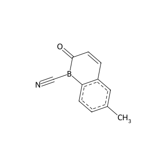 Cc1ccc2c(c1)C=CC(=O)B2C#N